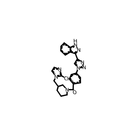 Cc1nccn1CC1CCCN(C(=O)c2ccc(-n3cc(-c4n[nH]c5ccccc45)nn3)cc2)C1